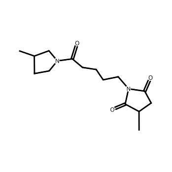 CC1CCN(C(=O)CCCCN2C(=O)CC(C)C2=O)C1